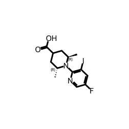 C[C@@H]1CC(C(=O)O)C[C@@H](C)N1c1ncc(F)cc1I